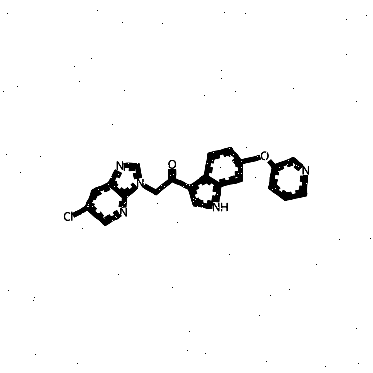 O=C(Cn1cnc2cc(Cl)cnc21)c1c[nH]c2cc(Oc3cccnc3)ccc12